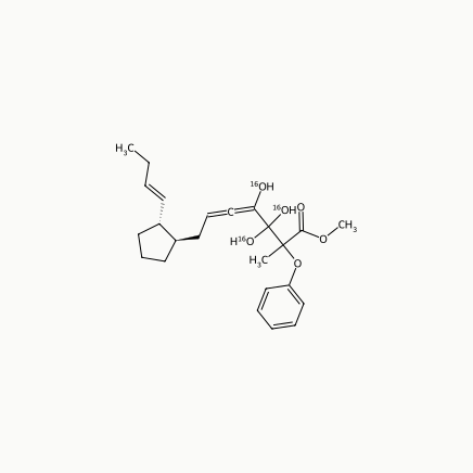 CC/C=C/[C@H]1CCC[C@@H]1CC=C=C([16OH])C([16OH])([16OH])C(C)(Oc1ccccc1)C(=O)OC